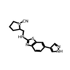 N#CN1CCCC1CNc1nc2ccc(-c3cn[nH]c3)cc2s1